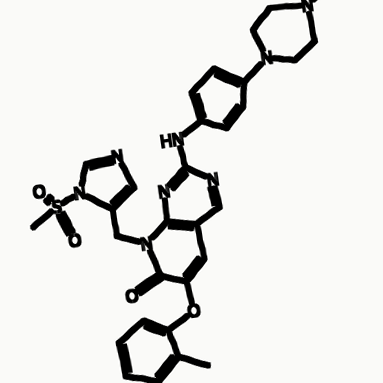 Cc1ccccc1Oc1cc2cnc(Nc3ccc(N4CCN(C)CC4)cc3)nc2n(Cc2cncn2S(C)(=O)=O)c1=O